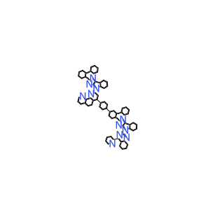 c1ccc(-c2nc(-n3c4ccccc4c4c3nc3c5ccc(-c6ccc(-c7cc(-n8c9ccccc9c9c8nc8c%10ccccc%10c%10ccccc%10n89)nc8c7ccc7cccnc78)cc6)cc5c5ccccc5n34)nc3ccccc23)nc1